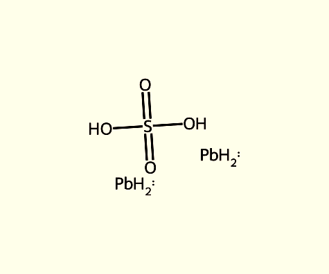 O=S(=O)(O)O.[PbH2].[PbH2]